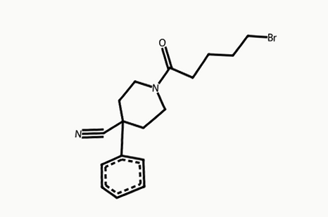 N#CC1(c2ccccc2)CCN(C(=O)CCCCBr)CC1